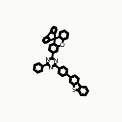 c1ccc(-c2nc(-c3ccc(-c4ccc5c(c4)sc4ccccc45)cc3)nc(-c3ccc4c(c3)Oc3ccccc3C43c4ccccc4-c4ccccc43)n2)cc1